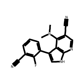 CN(C)c1c(C#N)cnc2[nH]cc(-c3cccc(C#N)c3F)c12